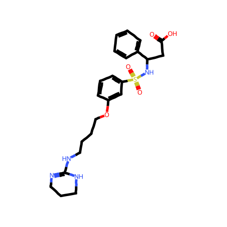 O=C(O)CC(NS(=O)(=O)c1cccc(OCCCCNC2=NCCCN2)c1)c1ccccc1